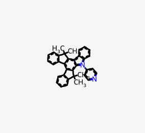 CC1(C)c2ccccc2-c2c3c(c4c(c21)c1ccccc1n4-c1ccncc1)C(C)(C)c1ccccc1-3